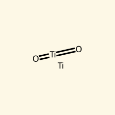 [O]=[Ti]=[O].[Ti]